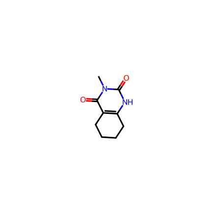 Cn1c(=O)[nH]c2c(c1=O)CCCC2